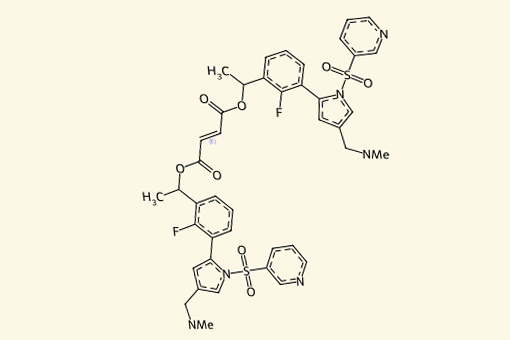 CNCc1cc(-c2cccc(C(C)OC(=O)/C=C/C(=O)OC(C)c3cccc(-c4cc(CNC)cn4S(=O)(=O)c4cccnc4)c3F)c2F)n(S(=O)(=O)c2cccnc2)c1